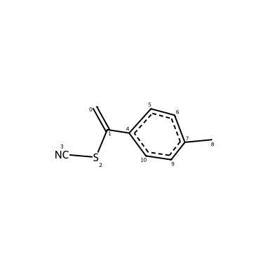 [CH]=C(SC#N)c1ccc(C)cc1